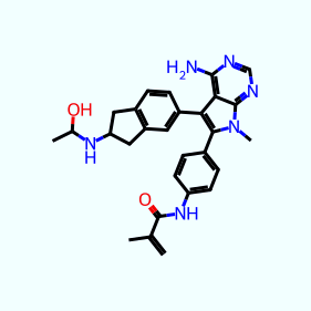 C=C(C)C(=O)Nc1ccc(-c2c(-c3ccc4c(c3)CC(NC(C)O)C4)c3c(N)ncnc3n2C)cc1